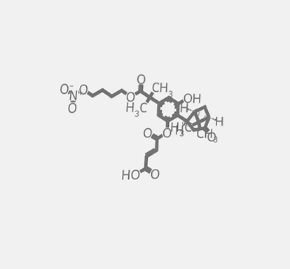 CC(C)(C(=O)OCCCCO[N+](=O)[O-])c1cc(O)c([C@@H]2CC(=O)[C@@H]3C[C@H]2C3(C)C)c(OC(=O)C=CC(=O)O)c1